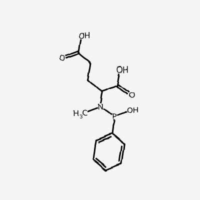 CN(C(CCC(=O)O)C(=O)O)P(O)c1ccccc1